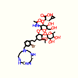 CCC1CC(CCc2ccc(CN3CCCNCCNCCCNCC3)cc2Br)CC(OC2OC(CO)C(O)C(O[C@@H](CC3CC3)C(=O)O)C2NC(C)=O)C1OC1OC(C)C(O)C(O)C1O